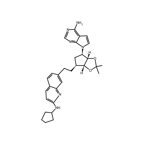 CC1(C)O[C@@H]2[C@@H](CCc3ccc4ccc(NC5CCCC5)nc4c3)C[C@@H](n3ccc4c(N)ncnc43)[C@@H]2O1